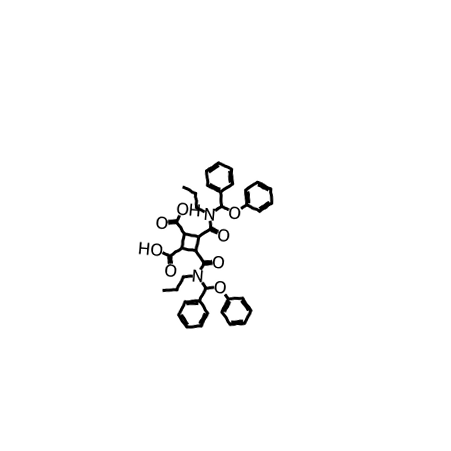 CCCN(C(=O)C1C(C(=O)O)C(C(=O)O)C1C(=O)N(CCC)C(Oc1ccccc1)c1ccccc1)C(Oc1ccccc1)c1ccccc1